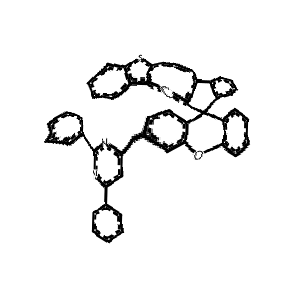 c1ccc(-c2cc(-c3ccc4c(c3)Oc3ccccc3C43c4ccccc4-c4cc5sc6ccccc6c5cc43)nc(-c3ccccc3)n2)cc1